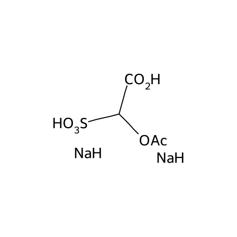 CC(=O)OC(C(=O)O)S(=O)(=O)O.[NaH].[NaH]